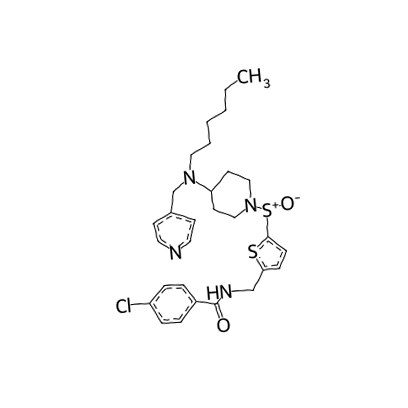 CCCCCCN(Cc1ccncc1)C1CCN([S+]([O-])c2ccc(CNC(=O)c3ccc(Cl)cc3)s2)CC1